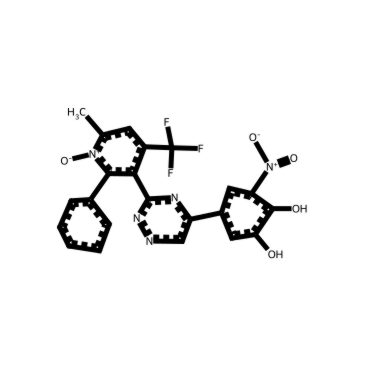 Cc1cc(C(F)(F)F)c(-c2nncc(-c3cc(O)c(O)c([N+](=O)[O-])c3)n2)c(-c2ccccc2)[n+]1[O-]